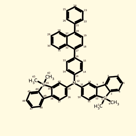 C[Si]1(C)c2ccccc2-c2cc(N(c3ccc(-c4ccc(-c5ccccc5)c5ccccc45)cc3)c3ccc4c(c3)[Si](C)(C)c3ccccc3-4)ccc21